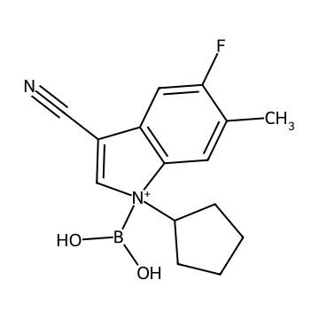 Cc1cc2c(cc1F)C(C#N)=C[N+]2(B(O)O)C1CCCC1